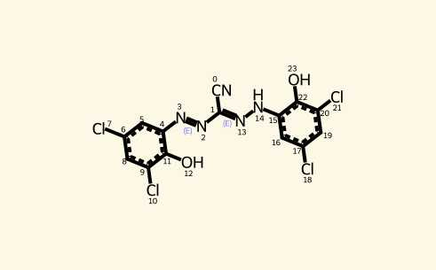 N#CC(/N=N/c1cc(Cl)cc(Cl)c1O)=N\Nc1cc(Cl)cc(Cl)c1O